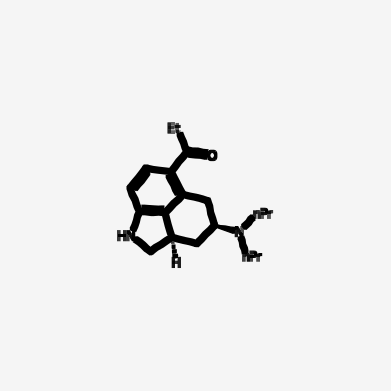 CCCN(CCC)[C@@H]1Cc2c(C(=O)CC)ccc3c2[C@H](CN3)C1